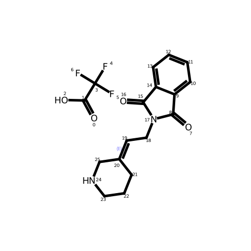 O=C(O)C(F)(F)F.O=C1c2ccccc2C(=O)N1C/C=C1\CCCNC1